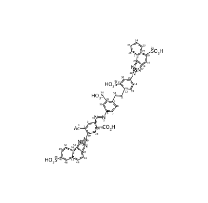 CC(=O)c1cc(N=Nc2ccc(C=Cc3ccc(-n4n5c6cc(S(=O)(=O)O)c7ccccc7c6n45)cc3S(=O)(=O)O)c(S(=O)(=O)O)c2)c(C(=O)O)cc1-n1n2c3ccc4cc(S(=O)(=O)O)ccc4c3n12